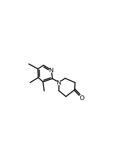 Cc1cnc(N2CCC(=O)CC2)c(C)c1C